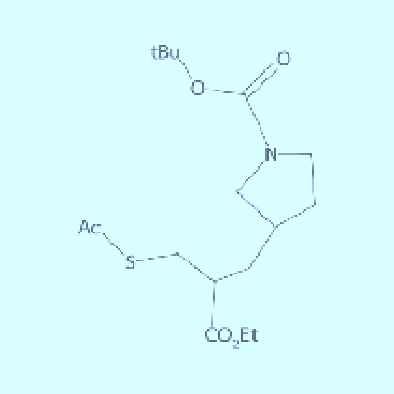 CCOC(=O)C(CSC(C)=O)CC1CCN(C(=O)OC(C)(C)C)C1